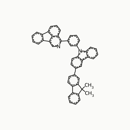 CC1(C)c2ccccc2-c2ccc(-c3ccc4c(c3)c3ccccc3n4-c3cccc(-c4ncc5c6c(cccc46)-c4ccccc4-5)c3)cc21